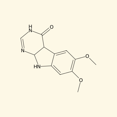 COc1cc2c(cc1OC)C1C(=O)NC=NC1N2